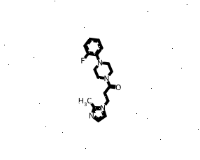 Cc1nccn1CCC(=O)N1CCN(c2ccccc2F)CC1